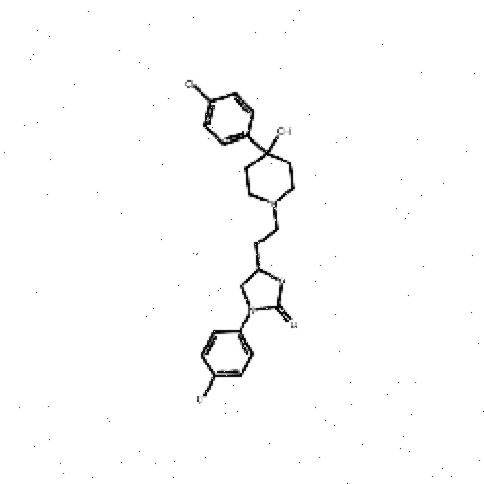 O=C1OC(CCN2CCC(O)(c3ccc(Cl)cc3)CC2)CN1c1ccc(Cl)cc1